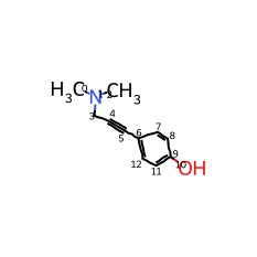 CN(C)CC#Cc1ccc(O)cc1